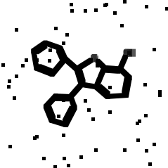 Oc1cccc2c(-c3ccccc3)c(-c3ccccc3)oc12